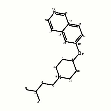 CC(C)CCN1CCC(Oc2ccc3cnccc3c2)CC1